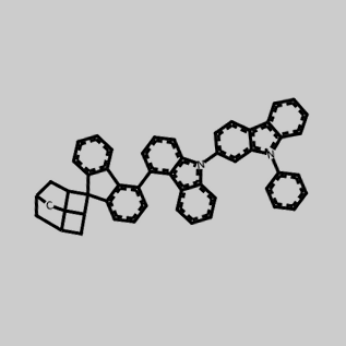 c1ccc(-n2c3ccccc3c3ccc(-n4c5ccccc5c5c(-c6cccc7c6-c6ccccc6C76C7CC8CC9CC6C97C8)cccc54)cc32)cc1